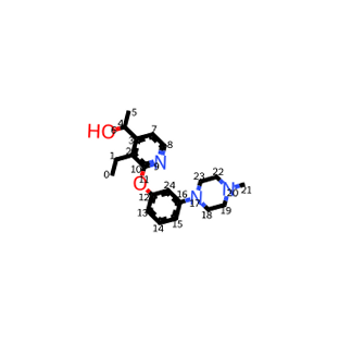 CCc1c(C(C)O)ccnc1Oc1cccc(N2CCN(C)CC2)c1